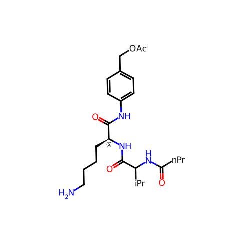 CCCC(=O)NC(C(=O)N[C@@H](CCCCN)C(=O)Nc1ccc(COC(C)=O)cc1)C(C)C